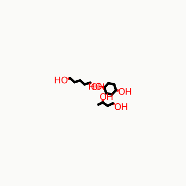 CC(O)CCO.OC1CCC(O)CC1.OCCCCCO